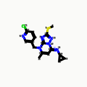 CSc1nc2n(Cc3ccc(Cl)nc3)c(C)c/c(=N\C3CC3)n2n1